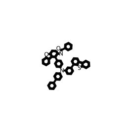 c1ccc(-c2ccc(N(c3ccc(-c4c5nc(-c6ccccc6)oc5cc5oc6ccccc6c45)cc3)c3cccc(-c4cccc5c4sc4ccccc45)c3)cc2)cc1